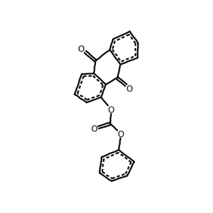 O=C(Oc1ccccc1)Oc1cccc2c1C(=O)c1ccccc1C2=O